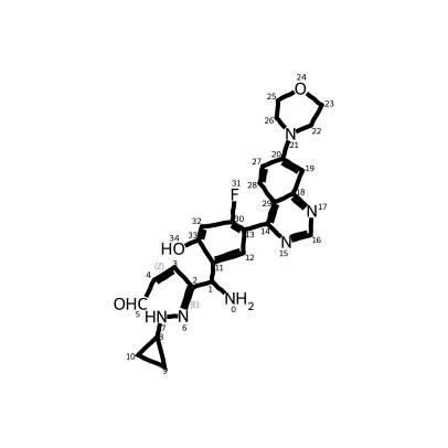 NC(C(/C=C\C=O)=N/NC1CC1)c1cc(-c2ncnc3cc(N4CCOCC4)ccc23)c(F)cc1O